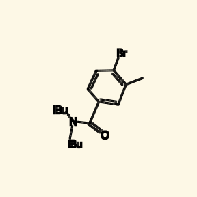 CCC(C)N(C(=O)c1ccc(Br)c(C)c1)C(C)CC